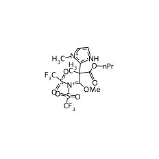 CCCOC(=O)C(C)(C(OC)=[N+](S(=O)(=O)C(F)(F)F)S(=O)(=O)C(F)(F)F)c1[nH]cc[n+]1C